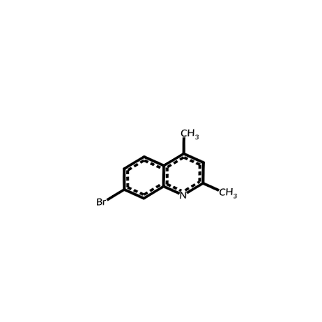 Cc1cc(C)c2ccc(Br)cc2n1